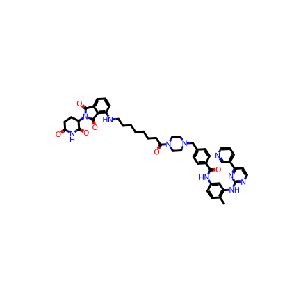 Cc1ccc(NC(=O)c2ccc(CN3CCN(C(=O)CCCCCCCNc4cccc5c4C(=O)N(C4CCC(=O)NC4=O)C5=O)CC3)cc2)cc1Nc1nccc(-c2cccnc2)n1